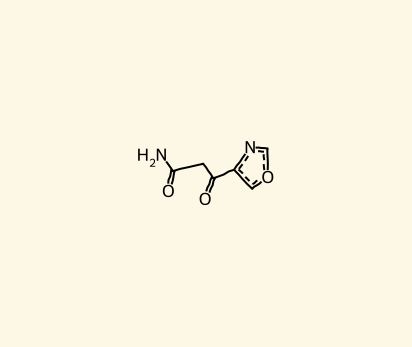 NC(=O)CC(=O)c1cocn1